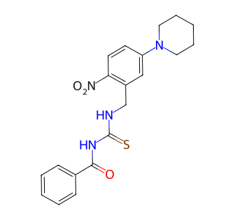 O=C(NC(=S)NCc1cc(N2CCCCC2)ccc1[N+](=O)[O-])c1ccccc1